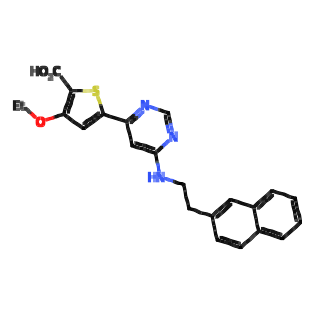 CCOc1cc(-c2cc(NCCc3ccc4ccccc4c3)ncn2)sc1C(=O)O